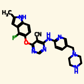 Cc1cc2c(F)c(Oc3ncnc(Nc4ccc(CN5CCNCC5)cn4)c3C#N)ccc2[nH]1